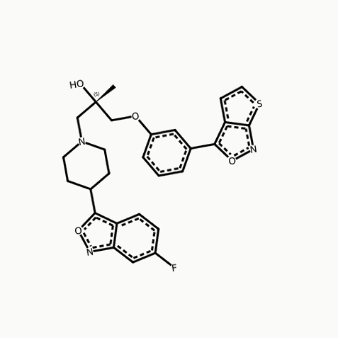 C[C@@](O)(COc1cccc(-c2onc3sccc23)c1)CN1CCC(c2onc3cc(F)ccc23)CC1